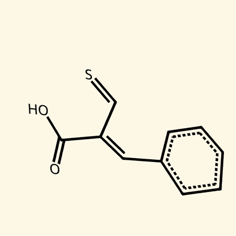 O=C(O)C(C=S)=Cc1ccccc1